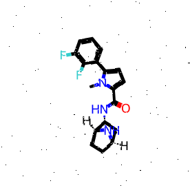 Cn1c(C(=O)N[C@@H]2C[C@H]3CC[C@@H]2N3)ccc1-c1cccc(F)c1F